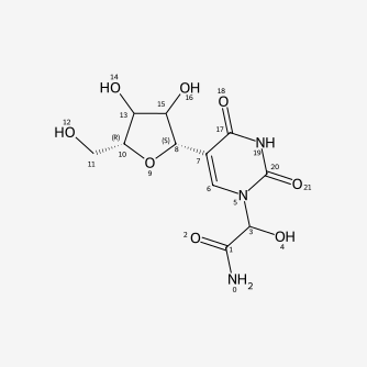 NC(=O)C(O)n1cc([C@@H]2O[C@H](CO)C(O)C2O)c(=O)[nH]c1=O